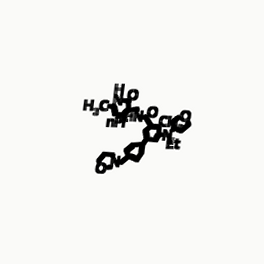 CCCc1cc(C)[nH]c(=O)c1CNC(=O)c1cc(-c2ccc(CN3CCCOC3)cc2)cc(N(CC)C2CCOCC2)c1C